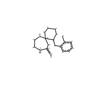 Cc1ccccc1CC1CCCCC12CC(=O)NCCS2